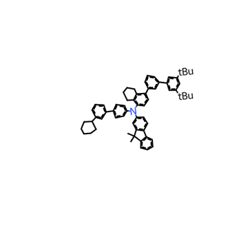 CC(C)(C)c1cc(-c2cccc(-c3ccc(N(c4ccc(-c5cccc(C6CCCCC6)c5)cc4)c4ccc5c(c4)C(C)(C)c4ccccc4-5)c4c3CCCC4)c2)cc(C(C)(C)C)c1